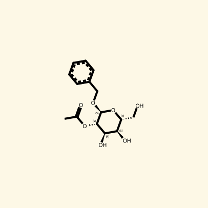 CC(=O)O[C@@H]1[C@@H](OCc2ccccc2)O[C@H](CO)[C@@H](O)[C@H]1O